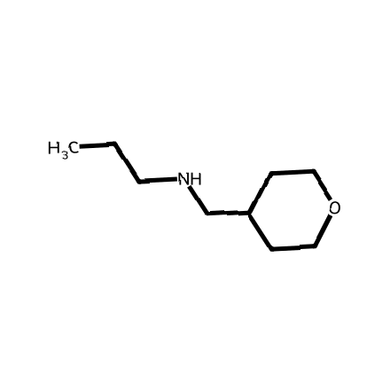 CCCNCC1CCOCC1